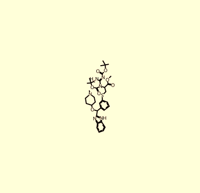 COC(=O)C(CSc1cccc(C(OC2CCN(C)CC2)c2nc3ccccc3[nH]2)c1)N(C(=O)OC(C)(C)C)C(N)=NC(=O)OC(C)(C)C